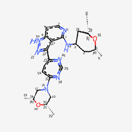 C[C@@H]1CC(Nc2nccc3[nH]nc(-c4cc(N5C[C@@H](C)O[C@@H](C)C5)ncn4)c23)C[C@H](C)O1